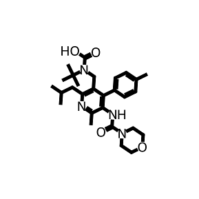 Cc1ccc(-c2c(CN(C(=O)O)C(C)(C)C)c(CC(C)C)nc(C)c2NC(=O)N2CCOCC2)cc1